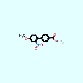 COC(=O)c1ccc(-c2ccc(OC)cc2[N+](=O)[O-])cc1